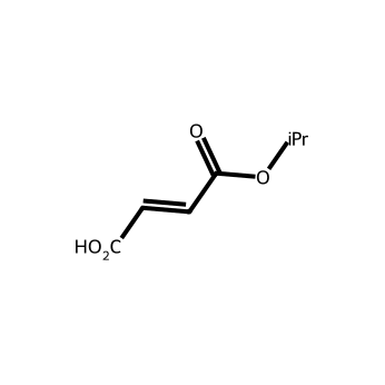 CC(C)OC(=O)/C=C/C(=O)O